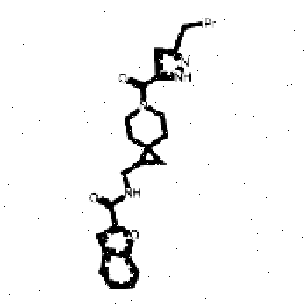 CC(C)Cc1cc(C(=O)N2CCC3(CC2)CC3CNC(=O)c2cc3ccccc3o2)[nH]n1